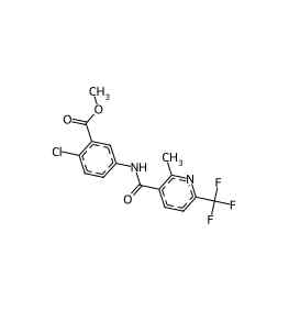 COC(=O)c1cc(NC(=O)c2ccc(C(F)(F)F)nc2C)ccc1Cl